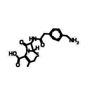 CC1=C(C(=O)O)N2C(=O)C(NC(=O)Cc3ccc(CN)cc3)[C@@H]2SC1